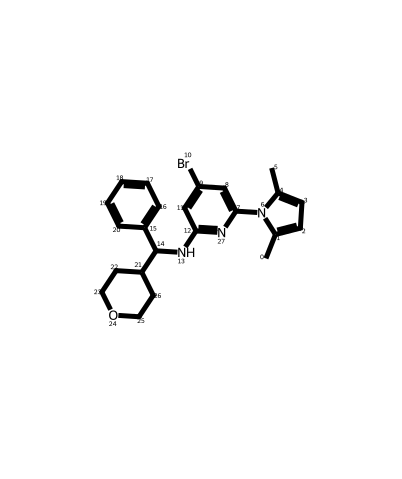 Cc1ccc(C)n1-c1cc(Br)cc(NC(c2ccccc2)C2CCOCC2)n1